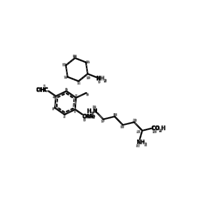 COc1ccc(C=O)cc1C.NC1CCCCC1.NCCCCC(N)C(=O)O